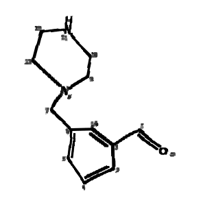 O=[C]c1cccc(CN2CCNCC2)c1